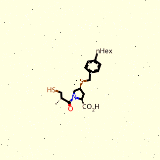 CCCCCCc1ccc(CS[C@H]2C[C@@H](C(=O)O)N(C(=O)[C@H](C)CS)C2)cc1